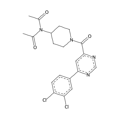 CC(=O)N(C(C)=O)C1CCN(C(=O)c2cc(-c3ccc(Cl)c(Cl)c3)ncn2)CC1